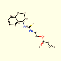 COCC(=O)OCCNC(=S)NC1CCCc2ccccc21